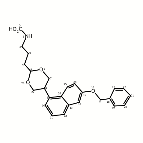 O=C(O)NCCCC1OCC(c2cccc3cc(OCc4ccccc4)ccc23)CO1